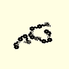 C(=Cc1nnn[nH]1)c1ccc(CCc2cccc(OCc3ccc4ccccc4n3)c2)cc1.C(=Cc1nnn[nH]1)c1ccc(Cc2cccc(OCc3ccc4ccccc4n3)c2)cc1.C(=Cc1nnn[nH]1)c1cccc(Cc2ccc(OCc3ccc4ccccc4n3)cc2)c1